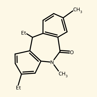 CCc1ccc2c(c1)N(C)C(=O)c1cc(C)ccc1C2CC